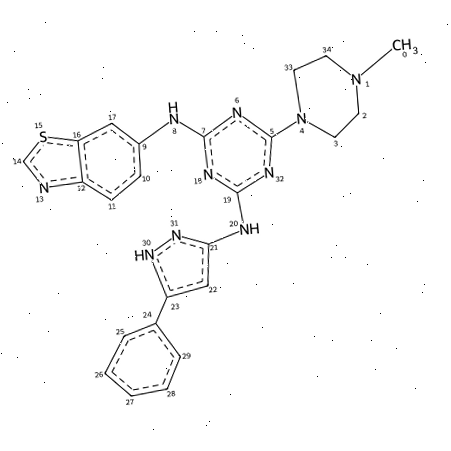 CN1CCN(c2nc(Nc3ccc4ncsc4c3)nc(Nc3cc(-c4ccccc4)[nH]n3)n2)CC1